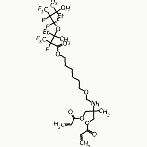 C=CC(=O)OCC(C)(COC(=O)C=C)NCOCCCCCCOC(=O)C(F)(C(F)(F)F)C(C)(CC)OC(F)(F)C(F)(C(F)(F)F)C(C)(O)CC